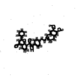 COc1cc2c(cc1OC)CN(CCc1ccc(NC(=O)c3cccc4c(=O)cc(-c5ccccc5)oc34)cc1)CC2